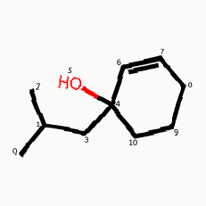 CC(C)CC1(O)C=CCCC1